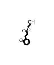 O=C(CCC1CCCCC1=O)OCCO